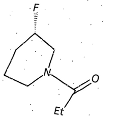 CCC(=O)N1CCC[C@H](F)C1